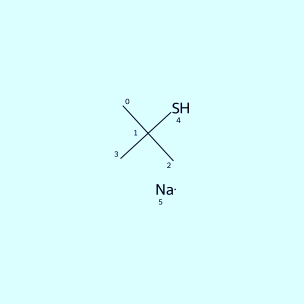 CC(C)(C)S.[Na]